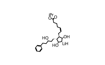 CC(C)OC(=O)CCC/C=C\C[C@@H]1[C@@H](CC[C@@H](O)CCc2ccccc2)[C@H](O)C[C@@H]1O.[LiH]